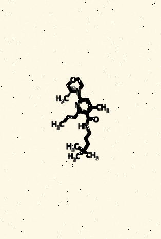 CCCc1nc(N2CCOC[C@H]2C)cc(C)c1C(=O)NCCCC(C)(C)C